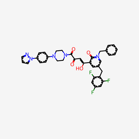 O=C(C=C(O)c1cc(Cc2c(F)cc(F)cc2F)cn(Cc2ccccc2)c1=O)C(=O)N1CCN(c2ccc(-n3cccn3)cc2)CC1